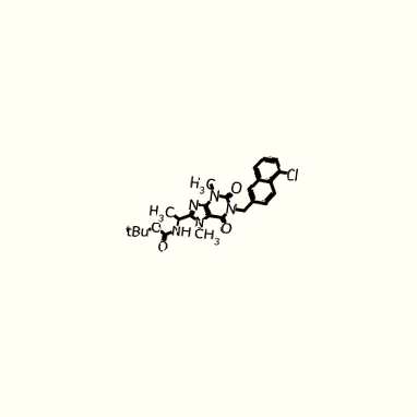 CC(NC(=O)OC(C)(C)C)c1nc2c(c(=O)n(Cc3ccc4c(Cl)cccc4c3)c(=O)n2C)n1C